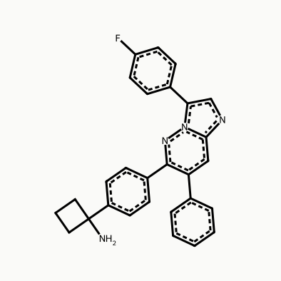 NC1(c2ccc(-c3nn4c(-c5ccc(F)cc5)cnc4cc3-c3ccccc3)cc2)CCC1